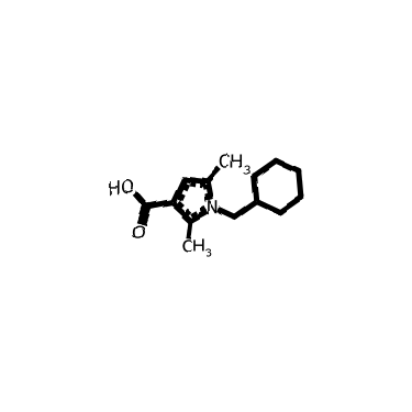 Cc1cc(C(=O)O)c(C)n1CC1CCCCC1